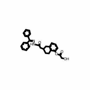 O=C(CC1CCc2c(cccc2OC(=O)CO)C1)NN=C(c1ccccc1)c1ccccc1